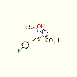 CC(C)(C)C(O)CN1C=CC=C(C(=O)O)C1SCCCc1ccc(F)cc1